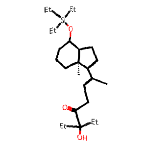 CCC(O)(CC)C(=O)CCC(C)C1CCC2C(O[Si](CC)(CC)CC)CCC[C@]12C